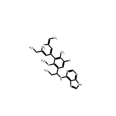 C\C=C(F)/C=C(\C=C(/C)CC)c1c(C)c(Cl)cc(C(CC)Nc2ncnc3[nH]cnc23)c1OC